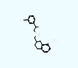 COc1cccc2c1CC(CNCC(O)c1cccc(Cl)c1)CC2